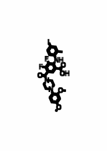 COc1ccc(N2CCN(C(=O)c3cc(C(=O)O)c(Nc4ccc(I)cc4C)c(F)c3F)CC2)c(OC)c1